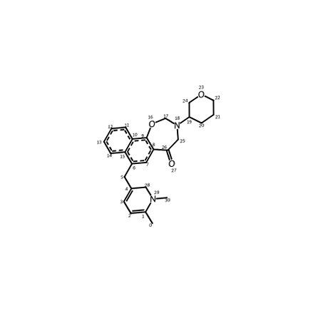 CC1=CC=C(Cc2cc3c(c4ccccc24)OCN(C2CCCOC2)CC3=O)CN1C